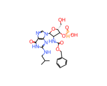 CC(C)CNc1nc2c(ncn2C2O[C@H](CO)[C@@H](O[PH](=O)O)[C@H]2NC(=O)OCc2ccccc2)c(=O)[nH]1